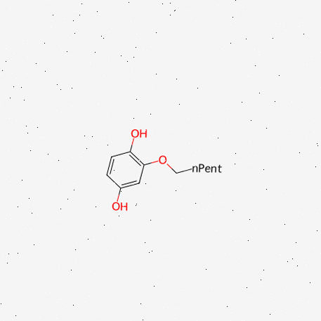 CCCCCCOc1cc(O)ccc1O